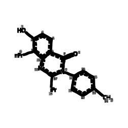 CCCc1c(O)ccc2c(=O)n(-c3ccc(C)cc3)c(C(C)C)nc12